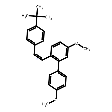 COc1ccc(-c2cc(OC)ccc2/C=C\c2ccc(C(C)(C)C)cc2)cc1